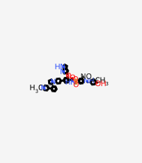 CN1CC=C(c2ccccc2[C@H]2CCCN2C2CC=C(c3ccc(C(=O)NS(=O)(=O)c4ccc(NC[C@H]5CC[C@](C)(O)CC5)c([N+](=O)[O-])c4)c(Oc4cnc5[nH]ccc5c4)c3)CC2)CC1